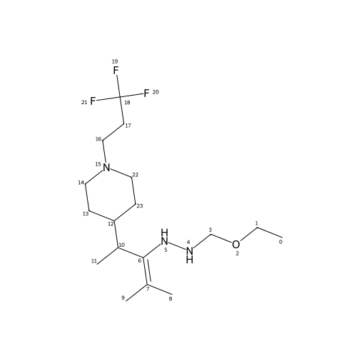 CCOCNNC(=C(C)C)C(C)C1CCN(CCC(F)(F)F)CC1